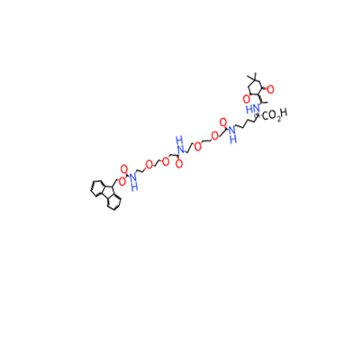 CC(N[C@@H](CCCCNC(=O)COCCOCCNC(=O)COCCOCCNC(=O)OCC1c2ccccc2-c2ccccc21)C(=O)O)=C1C(=O)CC(C)(C)CC1=O